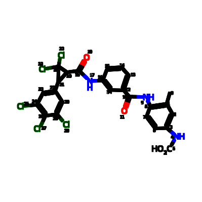 Cc1cc(NC(=O)O)ccc1NC(=O)c1cccc(NC(=O)C2C(c3cc(Cl)c(Cl)c(Cl)c3)C2(Cl)Cl)c1